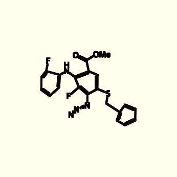 COC(=O)c1cc(SCc2ccccc2)c(N=[N+]=[N-])c(F)c1Nc1ccccc1F